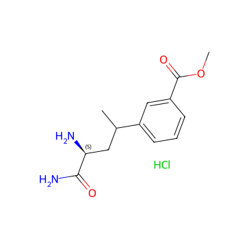 COC(=O)c1cccc(C(C)C[C@H](N)C(N)=O)c1.Cl